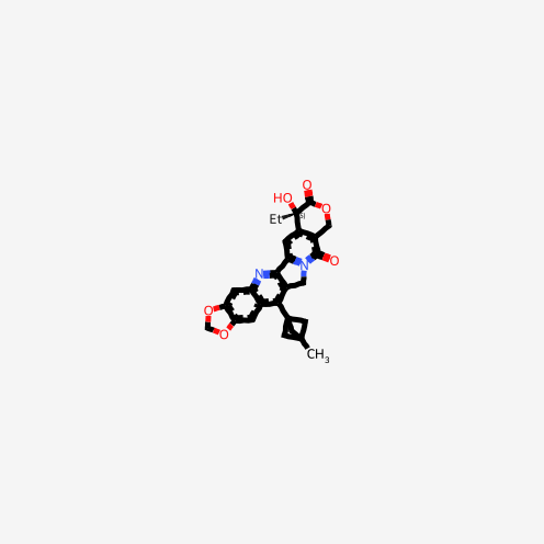 CC[C@@]1(O)C(=O)OCc2c1cc1n(c2=O)Cc2c-1nc1cc3c(cc1c2C12CC(C)(C1)C2)OCO3